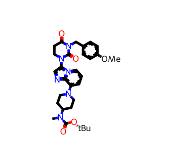 COc1ccc(CN2C(=O)CCN(c3cnc4c(N5CCC(N(C)C(=O)OC(C)(C)C)CC5)cccn34)C2=O)cc1